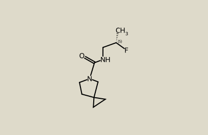 C[C@H](F)CNC(=O)N1CCC2(CC2)C1